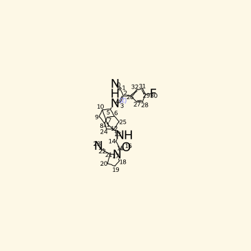 N#C/C(=C\NC1C2CC3CC1CC(NCC(=O)N1CCCC1C#N)(C3)C2)c1ccc(F)cc1